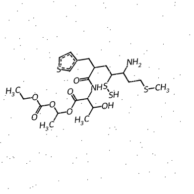 CCOC(=O)OC(C)OC(=O)C(NC(=O)C(Cc1ccsc1)CC(SS)C(N)CCSC)C(C)O